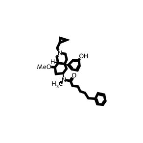 COC1C[C@H](N(C)C(=O)CCCCCc2ccccc2)C[C@]2(c3cccc(O)c3)CCN(CC3CC3)C[C@@H]12